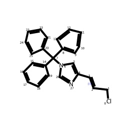 ClC/C=C/c1cn(C(c2ccccc2)(c2ccccc2)c2ccccc2)cn1